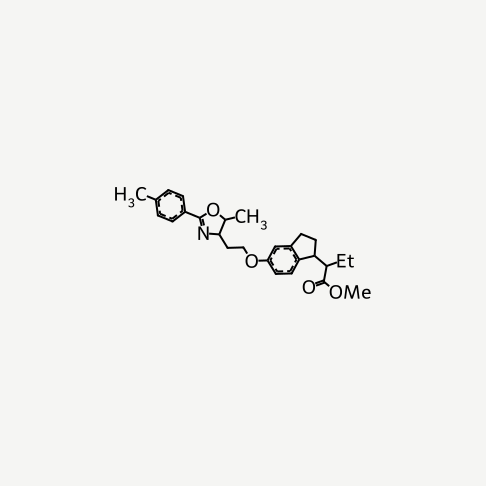 CCC(C(=O)OC)C1CCc2cc(OCCC3N=C(c4ccc(C)cc4)OC3C)ccc21